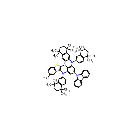 CC(C)(C)c1ccc2sc3c(c2c1)N(c1ccc2c(c1)C(C)(C)CCC2(C)C)c1cc(-n2c4ccccc4c4ccccc42)cc2c1B3c1cc3c(cc1N2c1ccc2c(c1)C(C)(C)CCC2(C)C)C(C)(C)CCC3(C)C